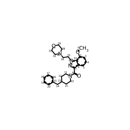 COc1cccc2c(C(=O)N3CCC(Cc4ccccc4)CC3)nn(CCN3CCOCC3)c12